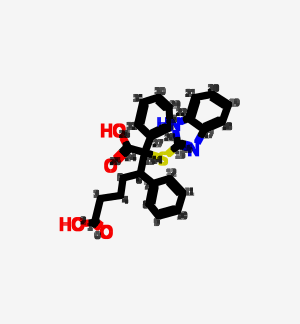 O=C(O)CCCC(c1ccccc1)C(Sc1nc2ccccc2[nH]1)(C(=O)O)c1ccccc1